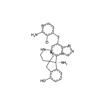 Nc1nccc(Sc2cnc([C@@]3(N)c4cccc(O)c4CC34CCNCC4)n3cnnc23)c1Cl